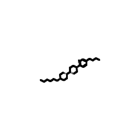 CCCCCC[C@H]1CC[C@H]([C@H]2CC[C@H](c3ccc(CCCC)cn3)CC2)CC1